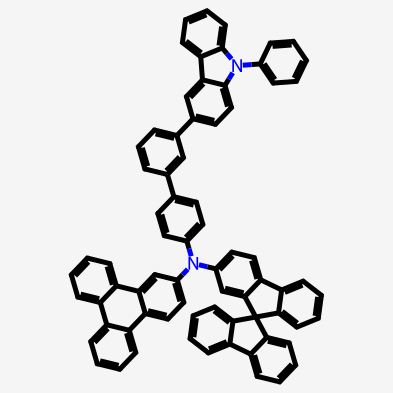 c1ccc(-n2c3ccccc3c3cc(-c4cccc(-c5ccc(N(c6ccc7c(c6)C6(c8ccccc8-c8ccccc86)c6ccccc6-7)c6ccc7c8ccccc8c8ccccc8c7c6)cc5)c4)ccc32)cc1